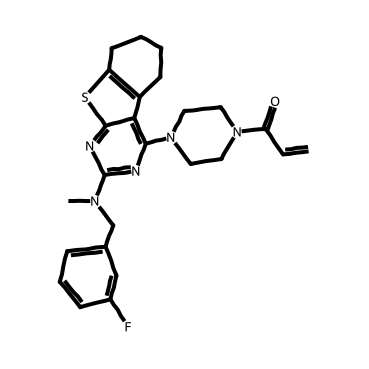 C=CC(=O)N1CCN(c2nc(N(C)Cc3cccc(F)c3)nc3sc4c(c23)CCCC4)CC1